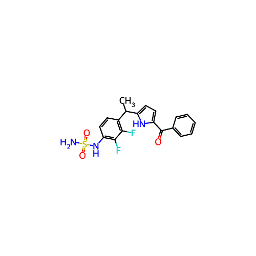 CC(c1ccc(C(=O)c2ccccc2)[nH]1)c1ccc(NS(N)(=O)=O)c(F)c1F